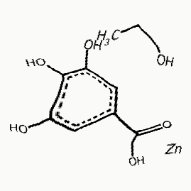 CCO.O=C(O)c1cc(O)c(O)c(O)c1.[Zn]